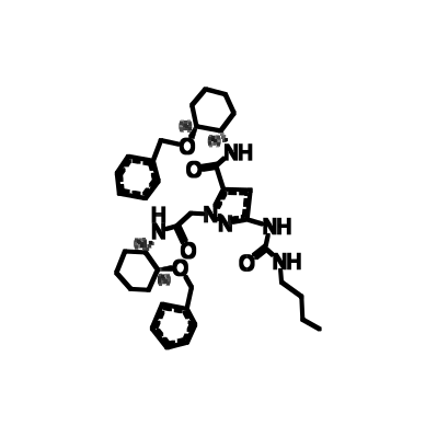 CCCCNC(=O)Nc1cc(C(=O)N[C@H]2CCCC[C@@H]2OCc2ccccc2)n(CC(=O)N[C@H]2CCCC[C@@H]2OCc2ccccc2)n1